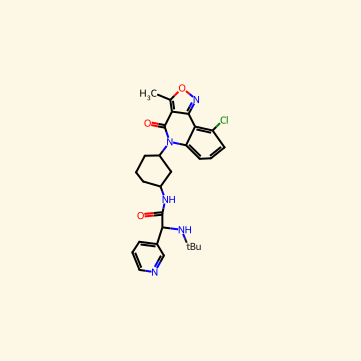 Cc1onc2c1c(=O)n(C1CCCC(NC(=O)C(NC(C)(C)C)c3cccnc3)C1)c1cccc(Cl)c21